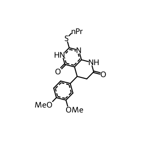 CCCSc1nc2c(c(=O)[nH]1)C(c1ccc(OC)c(OC)c1)CC(=O)N2